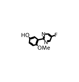 COc1ccc(O)cc1-c1ncc(F)cn1